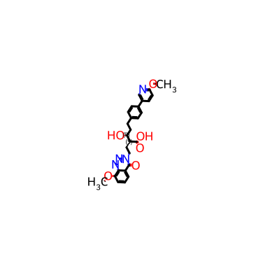 COc1ccc(-c2ccc(CC[C@@H](O)[C@H](CCn3nnc4c(OC)cccc4c3=O)C(=O)O)cc2)cn1